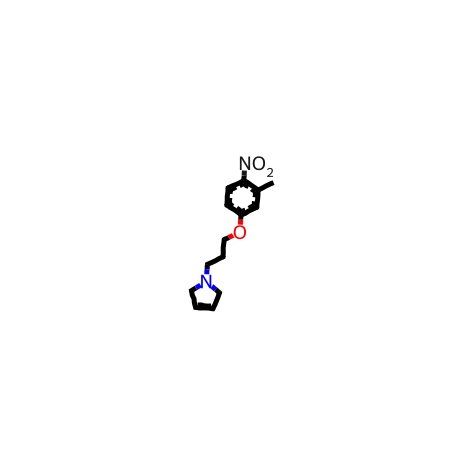 Cc1cc(OCCCN2CC=CC2)ccc1[N+](=O)[O-]